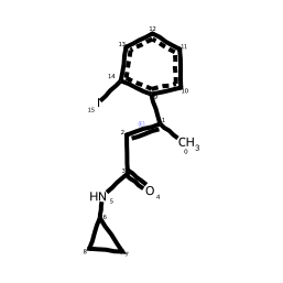 C/C(=C\C(=O)NC1CC1)c1ccccc1I